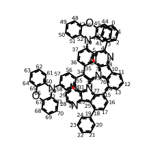 c1ccc(-c2cnc3c(n2)c2cccc4c5ccc(-c6ccccc6)c6c7nccnc7n(c(=C(c7ccc(N8c9ccccc9Oc9ccccc98)cc7)c7ccc(N8c9ccccc9Oc9ccccc98)cc7)n3c42)c56)cc1